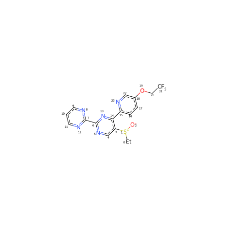 CC[S+]([O-])c1cnc(-c2ncccn2)nc1-c1ccc(OCC(F)(F)F)cn1